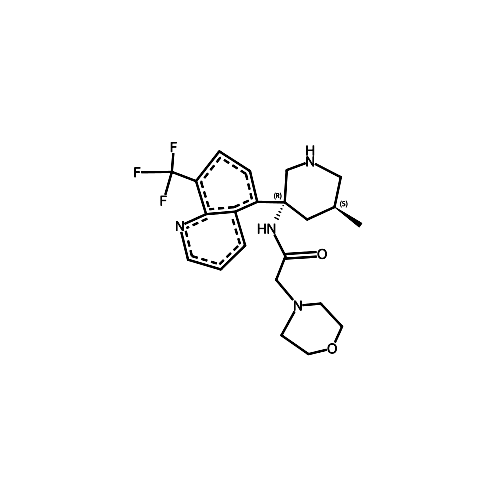 C[C@@H]1CNC[C@](NC(=O)CN2CCOCC2)(c2ccc(C(F)(F)F)c3ncccc23)C1